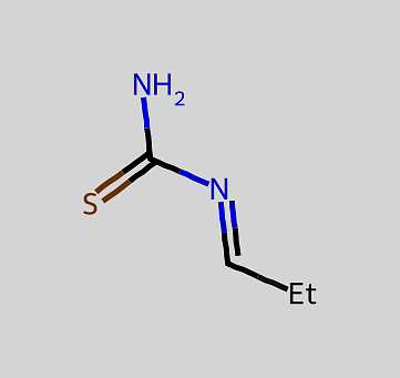 CCC=NC(N)=S